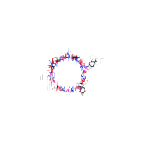 CC[C@H](C)[C@@H]1NC(=O)[C@H](CC(C)C)N(C)C(=O)C[C@@H](C(=O)N(C)C)N(C)C(=O)[C@H](C(C)C)N(C)C(=O)C2(CCCC2)NC(=O)[C@@H]2CCCN2C(=O)[C@H](CCc2ccc(C(F)(F)F)c(Cl)c2)NC(=O)CN(C)C(=O)[C@H](Cc2ccc(C)cc2)N(C)C(=O)CN(C)C(=O)CN(C)C1=O